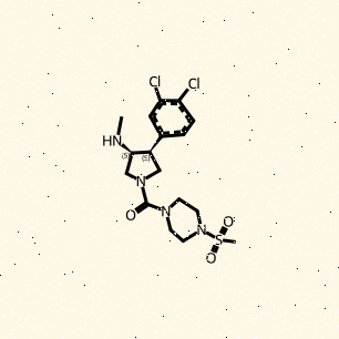 CN[C@@H]1CN(C(=O)N2CCN(S(C)(=O)=O)CC2)C[C@@H]1c1ccc(Cl)c(Cl)c1